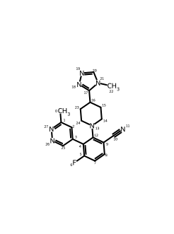 Cc1cc(-c2c(F)ccc(C#N)c2N2CCC(c3nncn3C)CC2)cnn1